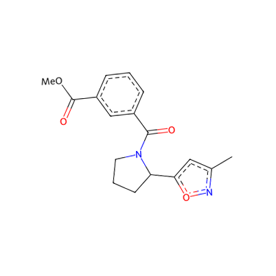 COC(=O)c1cccc(C(=O)N2CCCC2c2cc(C)no2)c1